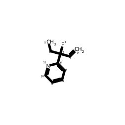 C=CC(F)(CC)c1ccccn1